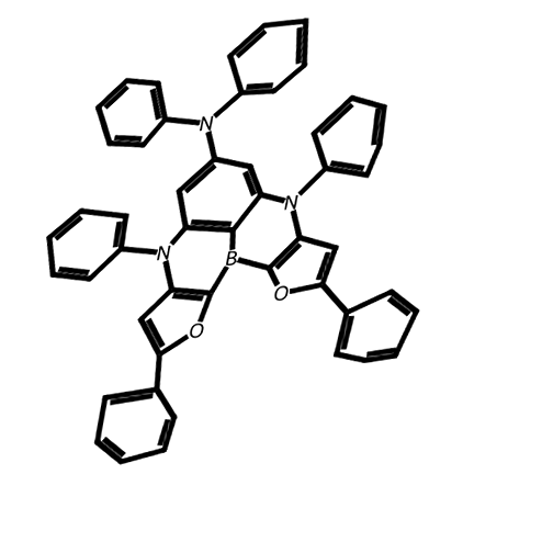 c1ccc(-c2cc3c(o2)B2c4oc(-c5ccccc5)cc4N(c4ccccc4)c4cc(N(c5ccccc5)c5ccccc5)cc(c42)N3c2ccccc2)cc1